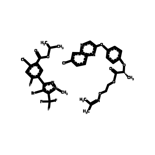 CC(C)=NOCCOC(=O)[C@@H](C)Oc1ccc(Oc2cnc3cc(Cl)ccc3n2)cc1.CC(C)OC(=O)c1cc(-c2nn(C)c(C(F)(F)F)c2Br)c(F)cc1Cl